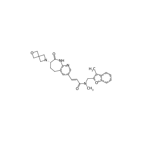 Cc1c(CN(C)C(=O)/C=C/c2cnc3c(c2)CC[C@H](N2CC4(COC4)C2)C(=O)N3)oc2ccccc12